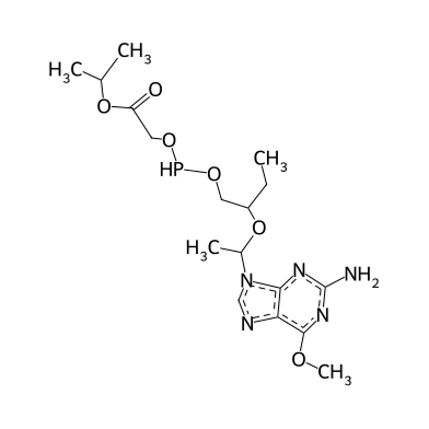 CCC(COPOCC(=O)OC(C)C)OC(C)n1cnc2c(OC)nc(N)nc21